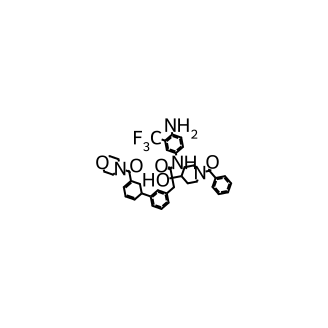 Nc1ccc(NC(=O)C(O)(Cc2cccc(C3C=CC=C(C(=O)N4CCOCC4)C3)c2)C2CCN(C(=O)c3ccccc3)CC2)cc1C(F)(F)F